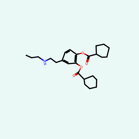 CCCNCCc1ccc(OC(=O)C2CCCCC2)c(OC(=O)C2CCCCC2)c1